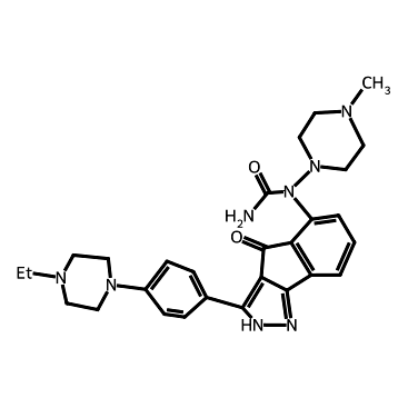 CCN1CCN(c2ccc(-c3[nH]nc4c3C(=O)c3c-4cccc3N(C(N)=O)N3CCN(C)CC3)cc2)CC1